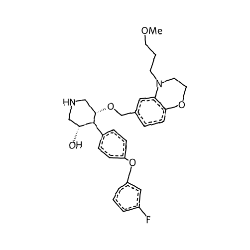 COCCCN1CCOc2ccc(CO[C@H]3CNC[C@@H](O)C3c3ccc(Oc4cccc(F)c4)cc3)cc21